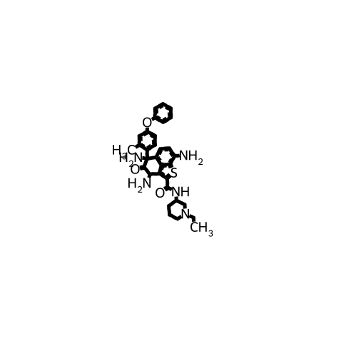 CCN1CCCC(NC(=O)c2sc3c(N)ccc4c3c2C(N)C(=O)C4(N)c2ccc(Oc3ccccc3)cc2C)C1